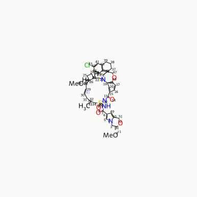 COC[C@@H]1Cn2cc(C(=O)N[S@@]3(=O)=NC(=O)c4ccc5c(c4)N(C[C@@H]4CC[C@H]4[C@@H](OC)/C=C/C[C@H](C)C3)C[C@@]3(CCCc4cc(Cl)ccc43)CO5)cc2CO1